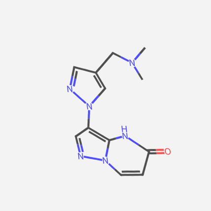 CN(C)Cc1cnn(-c2cnn3ccc(=O)[nH]c23)c1